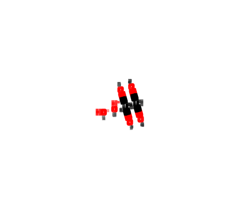 [OH-].[OH-].[O]=[Li+]=[O].[O]=[Li+]=[O]